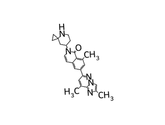 Cc1cn2nc(-c3cc(C)c4c(=O)n([C@@H]5CCNC6(CC6)C5)ccc4c3)cc(C)c2n1